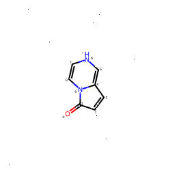 O=c1ccc2c[nH]ccn1-2